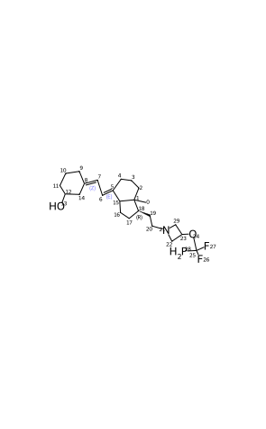 CC12CCC/C(=C\C=C3\CCCC(O)C3)C1CC[C@@H]2CCN1CC(OC(F)(F)P)C1